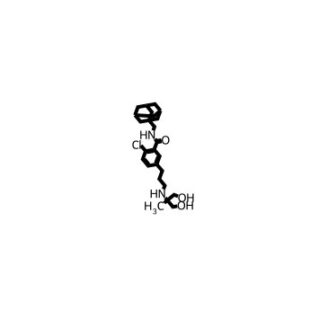 CC(CO)(CO)NCCCc1ccc(Cl)c(C(=O)NCC23CC4CC(CC(C4)C2)C3)c1